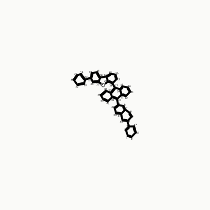 c1ccc(-c2ccc3cc(-c4c5ccccc5c(-c5cccc6c5oc5cc(-c7ccccc7)ccc56)c5ccccc45)ccc3c2)cc1